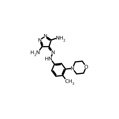 Cc1ccc(NN=C2C(N)=NN=C2N)cc1N1CCOCC1